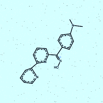 CN(C)c1ccc(/C(=N/O)c2cccc(-c3ccccn3)n2)cc1